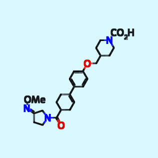 CON=C1CCN(C(=O)C2CC=C(c3ccc(OCC4CCN(C(=O)O)CC4)cc3)CC2)C1